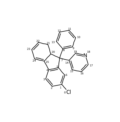 Clc1ccc2c(c1)C(c1ccccc1)(c1cccnc1)C1CC=CC=C21